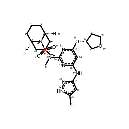 CCS(=O)(=O)N1[C@@H]2CCC[C@H]1C[C@H](N(C)c1nc(Nc3cc(C)[nH]n3)cc(O[C@@H]3CCOC3)n1)C2